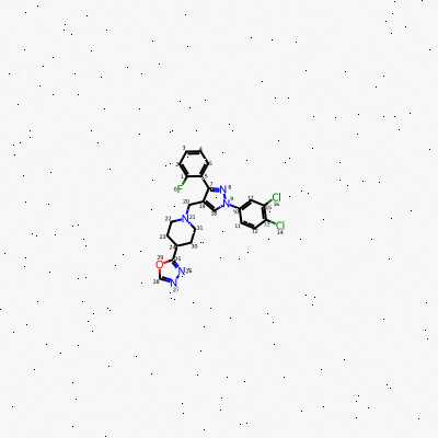 Fc1ccccc1-c1nn(-c2ccc(Cl)c(Cl)c2)cc1CN1CCC(c2nnco2)CC1